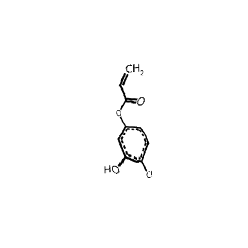 C=CC(=O)Oc1ccc(Cl)c(O)c1